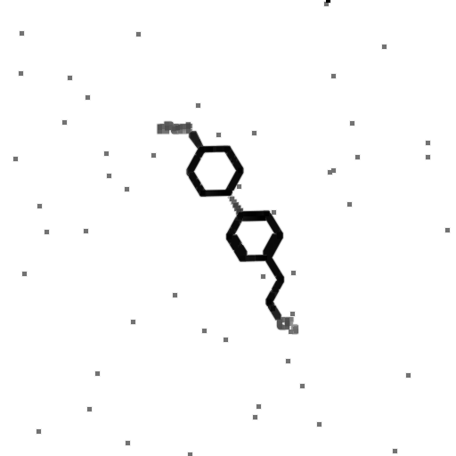 CCCCC[C@H]1CC[C@H](c2ccc(CCC(F)(F)F)cc2)CC1